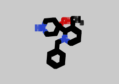 CC1=CC=CN(Cc2ccccc2)C1C1(O)CCNCC1